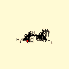 C/C=C1/C[C@H]2C(S(=O)(=O)O)Nc3cc(OCCCCCOc4cc5c(cc4OC)C(=O)N4C/C(=C\C)C[C@H]4[C@H](O)N5C(=O)OC[C@@H](C)S)c(OC)cc3C(=O)N2C1